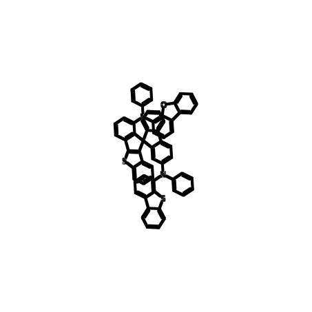 c1ccc(N(c2cccc3c2C2(c4ccccc4-c4ccc(N(c5ccccc5)c5cccc6c5sc5ccccc56)cc42)c2c-3sc3ccccc23)c2cccc3c2oc2ccccc23)cc1